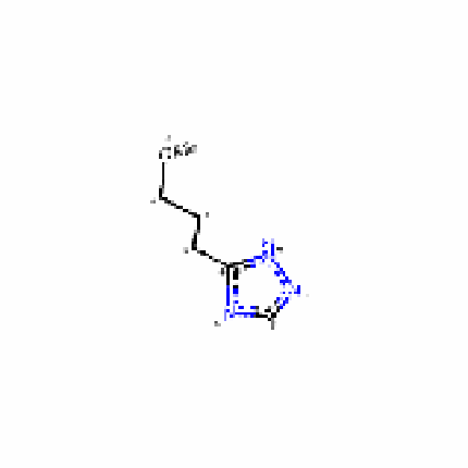 COCCCc1ncn[nH]1